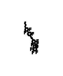 C=CCCc1cc(F)c(-c2ccc(C#Cc3cc(F)c(C(F)(F)Oc4cc(F)c(F)c(F)c4)c(F)c3)c(F)c2)c(F)c1